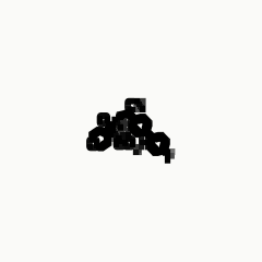 N#CC(CNC(=O)C1(NC(=O)O)CCOCC1)c1ccc(-c2ccc(F)cc2)cc1